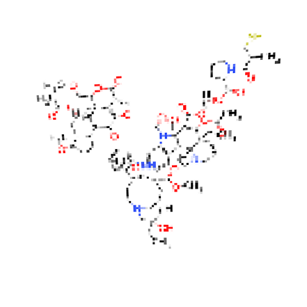 CC[C@]1(O)C[C@H]2C[N@](CCc3c([nH]c4ccccc34)[C@@](C(=O)OC)(c3cc4c(cc3OC)N(C=O)[C@H]3[C@@](O)(C(=O)OC)[C@H](OC(C)=O)[C@]5(CC)C=CCN6CC[C@]43[C@@H]65)C2)C1.COC[C@H]1OC(=O)c2coc3c2[C@@]1(C)C1=C(C3=O)C2CCC(=O)[C@@]2(C)C[C@H]1OC(C)=O.C[C@H](CS)C(=O)N1CCC[C@H]1C(=O)O